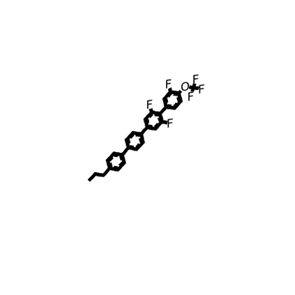 CCCc1ccc(-c2ccc(-c3cc(F)c(-c4ccc(OC(F)(F)F)c(F)c4)c(F)c3)cc2)cc1